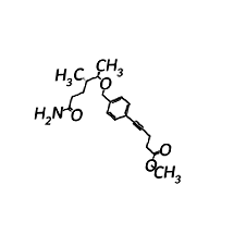 COC(=O)CCC#Cc1ccc(CO[C@H](C)[C@@H](C)CCC(N)=O)cc1